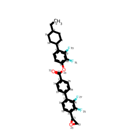 CCC1CCC(c2ccc(OC(=O)c3ccc(-c4ccc(C5CO5)c(F)c4F)cc3)c(F)c2F)CC1